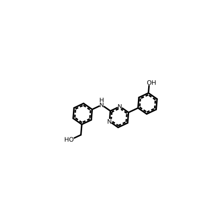 OCc1cccc(Nc2nccc(-c3cccc(O)c3)n2)c1